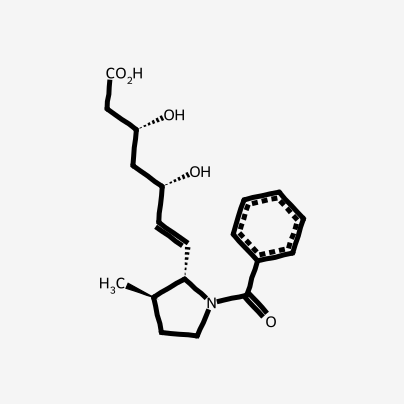 C[C@@H]1CCN(C(=O)c2ccccc2)[C@H]1C=C[C@@H](O)C[C@@H](O)CC(=O)O